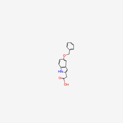 O=C(O)Cc1cc2cc(OCc3ccccc3)ccc2[nH]1